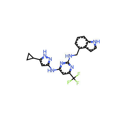 FC(F)(F)c1cc(Nc2cc(C3CC3)[nH]n2)nc(NCc2cccc3[nH]ccc23)n1